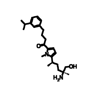 CC(C)c1cccc(CCCC(=O)c2ccc([C@H](C)CC[C@](C)(N)CO)n2C)c1